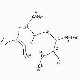 C=C=C(C)CC(OC)C(C)CC(NC(C)=O)C(C)OCC